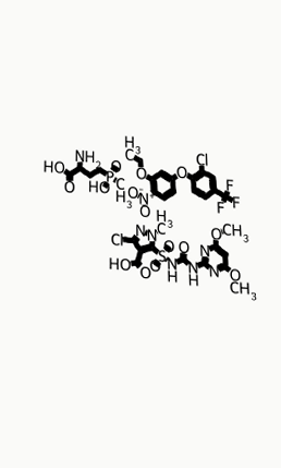 CCOc1cc(Oc2ccc(C(F)(F)F)cc2Cl)ccc1[N+](=O)[O-].COc1cc(OC)nc(NC(=O)NS(=O)(=O)c2c(C(=O)O)c(Cl)nn2C)n1.CP(=O)(O)CCC(N)C(=O)O